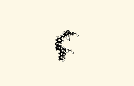 CN(C)C(=O)C(=Cc1cccnc1)c1ccc(Oc2ccc(CCC(=O)NC(N)=O)cc2)cc1